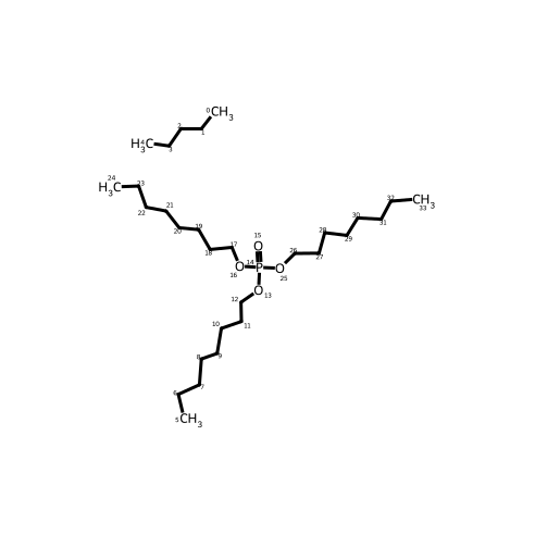 CCCCC.CCCCCCCCOP(=O)(OCCCCCCCC)OCCCCCCCC